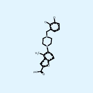 Cc1c(N2CCN(Cc3cccc(Cl)c3Cl)CC2)ccc2oc(C(=O)O)cc12